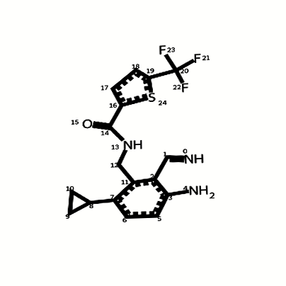 N=Cc1c(N)ccc(C2CC2)c1CNC(=O)c1ccc(C(F)(F)F)s1